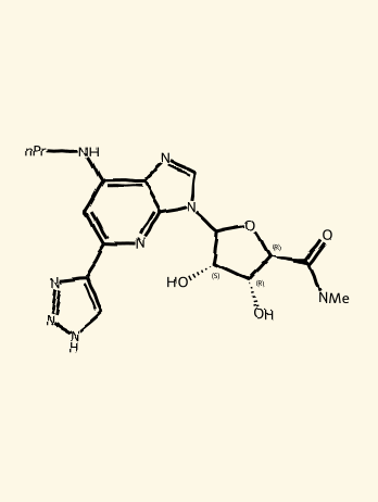 CCCNc1cc(-c2c[nH]nn2)nc2c1ncn2C1O[C@@H](C(=O)NC)[C@H](O)[C@@H]1O